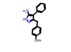 COc1ccc(Cc2n[nH]c(N)c2-c2ccccc2)cc1